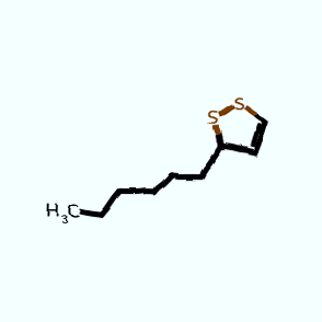 CCCCCCC1C=CSS1